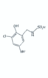 CC(C)(C)c1cc(Cl)c(O)c(CNS(=O)(=O)O)c1